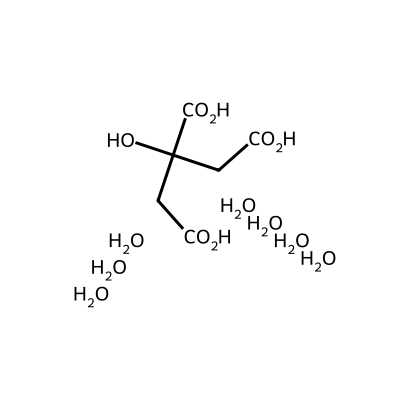 O.O.O.O.O.O.O.O=C(O)CC(O)(CC(=O)O)C(=O)O